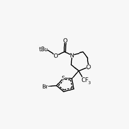 CC(C)(C)OC(=O)N1CCOC(c2ccc(Br)s2)(C(F)(F)F)C1